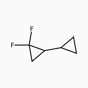 FC1(F)CC1C1[CH]C1